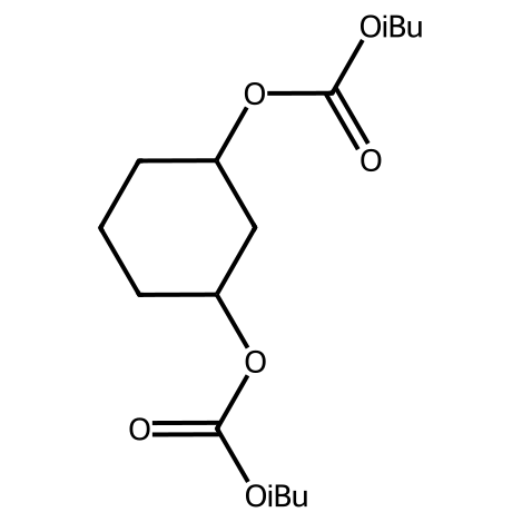 CC(C)COC(=O)OC1CCCC(OC(=O)OCC(C)C)C1